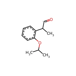 CC(C)Oc1ccccc1C(C)[C]=O